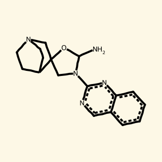 NC1OC2(CN3CCC2CC3)CN1c1ncc2ccccc2n1